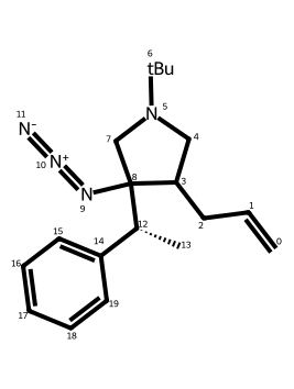 C=CCC1CN(C(C)(C)C)CC1(N=[N+]=[N-])[C@H](C)c1ccccc1